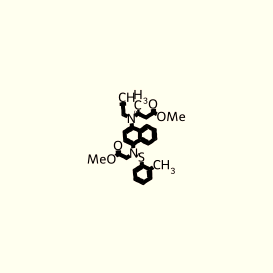 C#CCN(c1ccc(N(CC(=O)OC)Sc2ccccc2C)c2ccccc12)[C@@H](C)CC(=O)OC